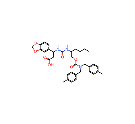 CCCCC(COC(=O)N(Cc1ccc(C)cc1)Cc1ccc(C)cc1)NC(=O)NC(CC(=O)O)c1ccc2c(c1)OCO2